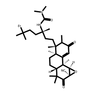 CCC(C)(C)CC[C@@](C)(CC[C@]1(C)C(C)C(=O)C=C2[C@@]3(C)[C@H]4O[C@@]4(C#N)C(=O)C(C)(C)[C@@H]3CC[C@]21C)NC(=O)N(C)C